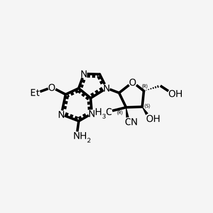 CCOc1nc(N)nc2c1ncn2C1O[C@H](CO)[C@@H](O)[C@@]1(C)C#N